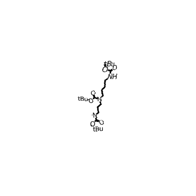 CC(C)(C)OC(=O)[N]CCCN(CCCCNC(=O)OC(C)(C)C)C(=O)OC(C)(C)C